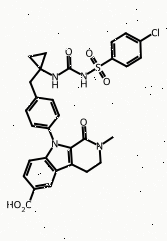 CN1CCc2c(n(-c3ccc(CC4(NC(=O)NS(=O)(=O)c5ccc(Cl)cc5)CC4)cc3)c3ccc(C(=O)O)cc23)C1=O